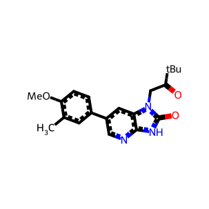 COc1ccc(-c2cnc3[nH]c(=O)n(CC(=O)C(C)(C)C)c3c2)cc1C